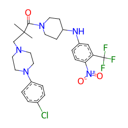 CC(C)(CN1CCN(c2ccc(Cl)cc2)CC1)C(=O)N1CCC(Nc2ccc([N+](=O)[O-])c(C(F)(F)F)c2)CC1